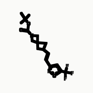 CC(C)(C)OC(=O)N1CC2(CC(C=Cc3cc(C(F)(F)F)on3)C2)C1